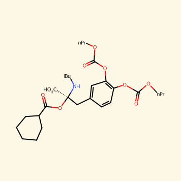 CCCOC(=O)Oc1ccc(C[C@](NC(C)CC)(OC(=O)C2CCCCC2)C(=O)O)cc1OC(=O)OCCC